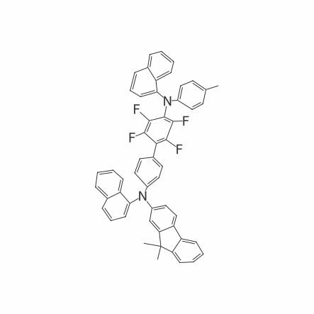 Cc1ccc(N(c2c(F)c(F)c(-c3ccc(N(c4ccc5c(c4)C(C)(C)c4ccccc4-5)c4cccc5ccccc45)cc3)c(F)c2F)c2cccc3ccccc23)cc1